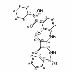 CC[C@@H](Nc1c(Nc2cccc(C(=O)N(O)C3CCCCC3)c2O)c(=O)c1=O)c1ccccc1